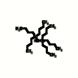 CCC[CH2][Sn]([CH2]CCC)([CH2]CCC)[NH][Sn]([CH2]CCC)([CH2]CCC)[CH2]CCC